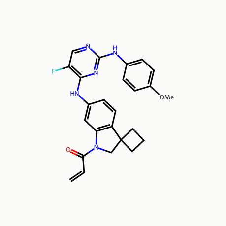 C=CC(=O)N1CC2(CCC2)c2ccc(Nc3nc(Nc4ccc(OC)cc4)ncc3F)cc21